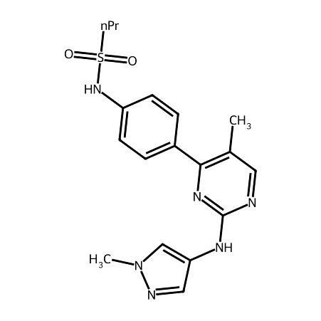 CCCS(=O)(=O)Nc1ccc(-c2nc(Nc3cnn(C)c3)ncc2C)cc1